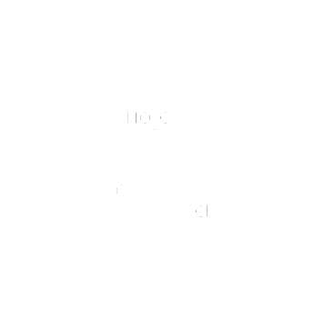 CC.CC(=O)O.ClCCl